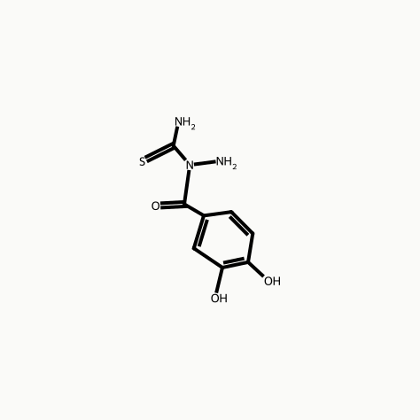 NC(=S)N(N)C(=O)c1ccc(O)c(O)c1